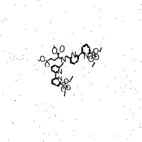 CCOP(=O)(OCC)c1cccc(-c2cccc(CN(Cc3cccc(-c4cccc(P(=O)(OCC)OCC)n4)n3)C(CCC(=O)OC)C(=O)OC)n2)n1